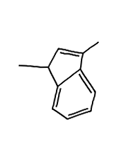 CC1=CC(C)c2ccccc21